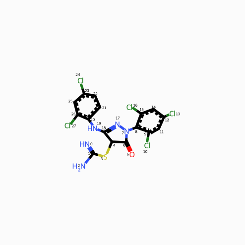 N=C(N)SC1C(=O)N(c2c(Cl)cc(Cl)cc2Cl)N=C1Nc1ccc(Cl)cc1Cl